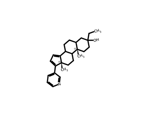 CCC1(O)CC[C@@]2(C)C(CCC3C4=CC=C(c5cccnc5)[C@@]4(C)CCC32)C1